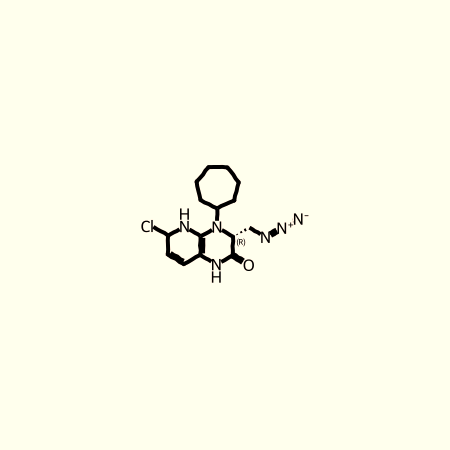 [N-]=[N+]=NC[C@@H]1C(=O)NC2=C(NC(Cl)C=C2)N1C1CCCCCC1